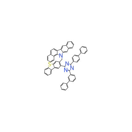 c1ccc(-c2ccc(-c3nc(-c4cccc(-c5ccccc5)c4)nc(-c4cc5c(cc4Cn4c6cc7ccccc7cc6c6ccc7ccccc7c64)sc4ccccc45)n3)cc2)cc1